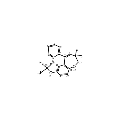 CC1(C)C=C(c2ccccn2)c2cc(OC(F)(F)F)ccc2OC1